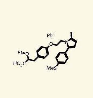 CCOC(Cc1ccc(OCCn2c(C)ccc2-c2ccc(SC)cc2)cc1)C(=O)O.[Pb]